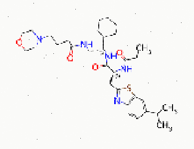 CCC(=O)N[C@@H](Cc1nc2ccc(C(C)C)cc2s1)C(=O)N[C@H](CNC(=O)CCCN1CCOCC1)C1CCCCC1